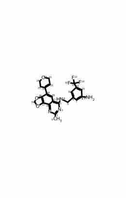 Cc1nc(NCc2cc(N)cc(C(F)(F)F)c2)c2cc(C3=CCOCC3)c3c(c2n1)OCO3